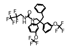 O=C(NCC(Cc1ccccc1)(c1cccc(OC(F)(F)F)c1)c1cccc(OC(F)(F)F)c1)NCC(F)(F)C(F)(F)F